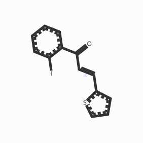 O=C(/C=C/c1cccs1)c1ccccc1I